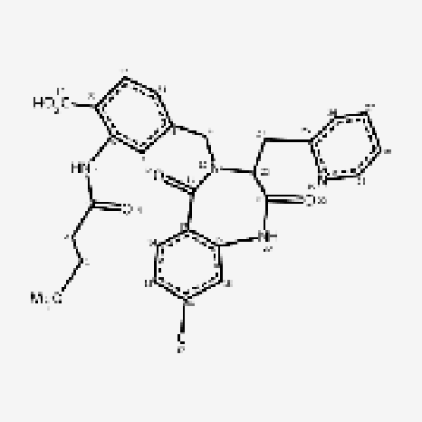 COCCC(=O)Nc1cc(CN2C(=O)c3ccc(Cl)cc3NC(=O)C2Cc2ccccn2)ccc1C(=O)O